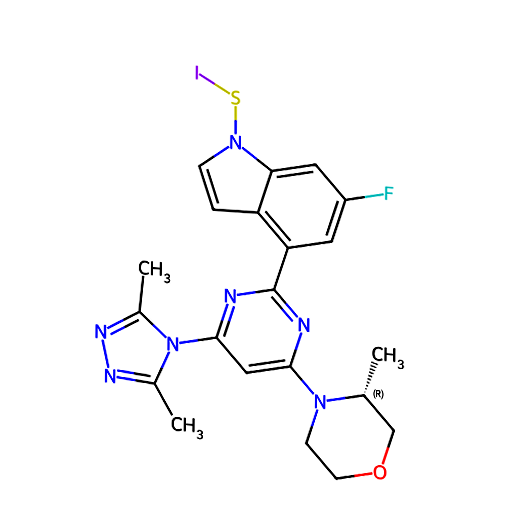 Cc1nnc(C)n1-c1cc(N2CCOC[C@H]2C)nc(-c2cc(F)cc3c2ccn3SI)n1